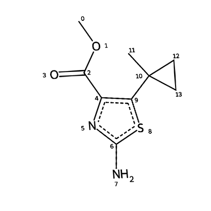 COC(=O)c1nc(N)sc1C1(C)CC1